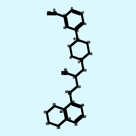 COc1cccc(N2CCN(CC(O)COc3cccc4c3CCCC4)CC2)c1